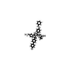 N[C@@H]1CCN(C(=O)[C@H](NS(=O)(=O)c2ccc(OCC3CCCCC3)cc2)C(F)(F)c2ccc(-c3ccc(Cl)cc3)cc2)C1.O=C(O)C(F)(F)F